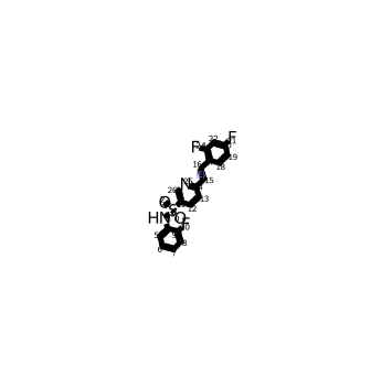 O=S(=O)(Nc1ccccc1F)c1ccc(/C=C/c2ccc(F)cc2F)nc1